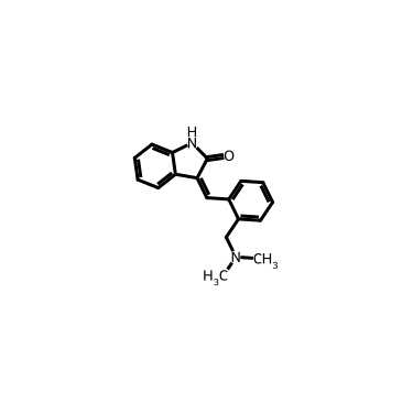 CN(C)Cc1ccccc1C=C1C(=O)Nc2ccccc21